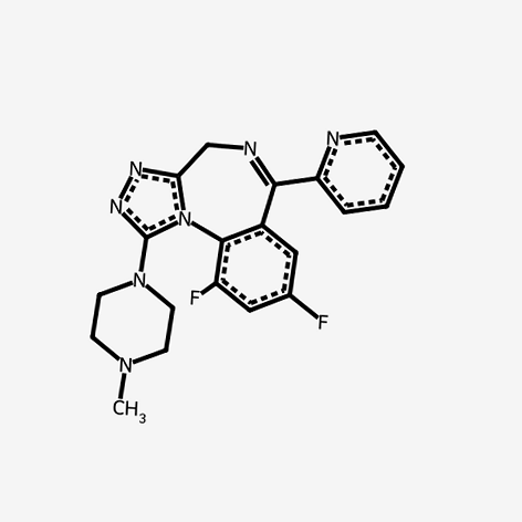 CN1CCN(c2nnc3n2-c2c(F)cc(F)cc2C(c2ccccn2)=NC3)CC1